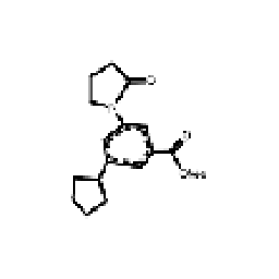 COC(=O)c1cc(C2CCCC2)cc(N2CCCC2=O)c1